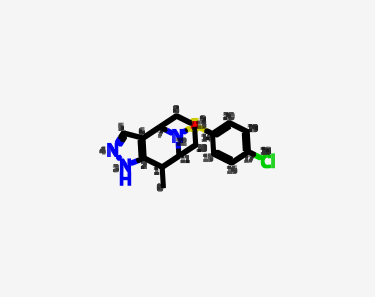 CC1c2[nH]ncc2C2CCCC1N2Sc1ccc(Cl)cc1